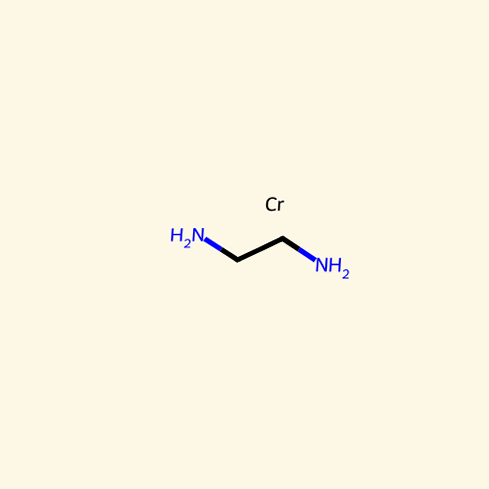 NCCN.[Cr]